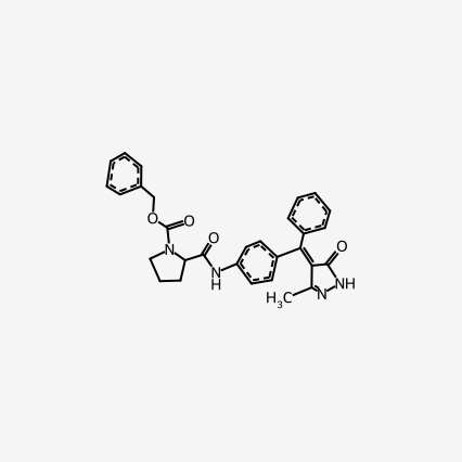 CC1=NNC(=O)C1=C(c1ccccc1)c1ccc(NC(=O)C2CCCN2C(=O)OCc2ccccc2)cc1